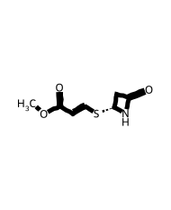 COC(=O)/C=C/S[C@@H]1CC(=O)N1